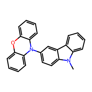 Cn1c2ccccc2c2cc(N3c4ccccc4Oc4ccccc43)ccc21